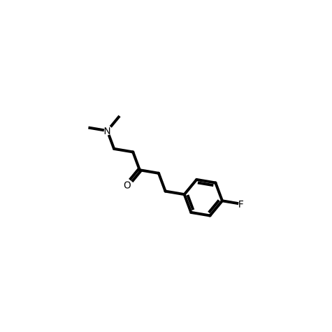 CN(C)CCC(=O)CCc1ccc(F)cc1